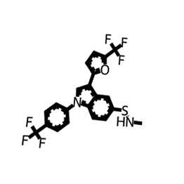 CNSc1ccc2c(c1)c(-c1ccc(C(F)(F)F)o1)cn2-c1ccc(C(F)(F)F)cc1